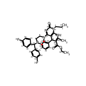 CCCn1c2c(c(N3CCN(C(c4ccc(F)cc4)c4ccc(F)cc4)CC3)nc1=O)C(c1ccccc1)C(C(=O)OCC)=C(C)N2